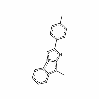 Cc1ccc(-c2cn3c4ccccc4n(C)c3n2)cc1